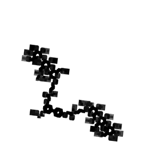 CC(=O)NC1C(O)[C@H](O[C@@H]2OC(CO)[C@H](O)C(O[C@H]3OC(CO)[C@H](O)C(O)C3O)C2O)C(CO)O[C@H]1OCCCNC(=O)COc1ccc(-c2cc(OCC(=O)NCCCO[C@@H]3OC(CO)[C@@H](O[C@@H]4OC(CO)[C@H](O)C(O[C@H]5OC(CO)[C@H](O)C(O)C5O)C4O)C(O)C3NC(C)=O)cc(C(=O)O)c2)cc1